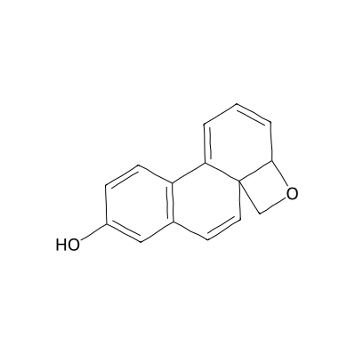 Oc1ccc2c(c1)C=CC13COC1C=CC=C23